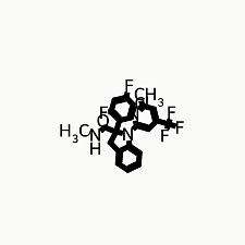 CNC(=O)C1(c2cc(Cl)c(F)cc2F)Cc2ccccc2N1c1cc(C(F)(F)F)cc(C)n1